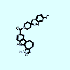 O=C(c1ccc2[nH]c3c(c2c1)CCCc1cn[nH]c1-3)N1CCC(O)(Cc2ccc(F)cc2)CC1